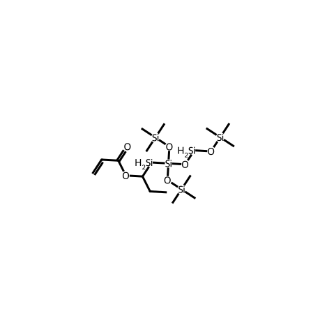 C=CC(=O)OC(CC)[SiH2][Si](O[SiH2]O[Si](C)(C)C)(O[Si](C)(C)C)O[Si](C)(C)C